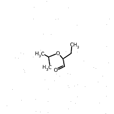 CCC(C=O)OC(C)C